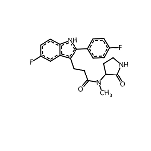 CN(C(=O)CCc1c(-c2ccc(F)cc2)[nH]c2ccc(F)cc12)C1CCNC1=O